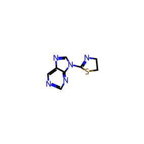 c1ncc2ncn(C3=NCCS3)c2n1